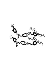 COc1ccc(CCN2CCC(CCNc3ccc(C#N)cc3)CC2)cc1OC.COc1ccc(CCN2CCC(CCNc3ccc(Cl)cc3)CC2)cc1OC